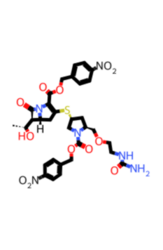 C[C@@H](O)[C@H]1C(=O)N2C(C(=O)OCc3ccc([N+](=O)[O-])cc3)=C(S[C@H]3C[C@@H](COCCNC(N)=O)N(C(=O)OCc4ccc([N+](=O)[O-])cc4)C3)C[C@H]12